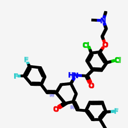 Cc1cc(/C=C2\CC(NC(=O)c3cc(Cl)c(OCCN(C)C)c(Cl)c3)C/C(=C\c3ccc(F)c(F)c3)C2=O)ccc1F